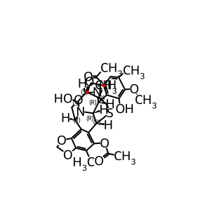 COc1c(C)cc2c(c1O)[C@@H]1[C@@H]3[C@@H]4SC[C@H](NC(C)=O)C(=O)OC[C@@H](c5c6c(c(C)c(OC(C)=O)c54)OCO6)N3[C@@H](O)[C@H](C2)N1C